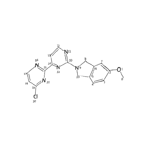 COc1ccc2c(c1)CN(c1nccc(-c3nccc(Cl)n3)n1)C2